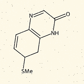 CSC1C=Cc2ncc(=O)[nH]c2C1